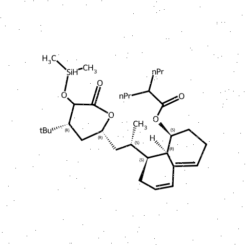 CCCC(CCC)C(=O)O[C@H]1CCC=C2C=CC[C@@H]([C@@H](C)C[C@@H]3C[C@H](C(C)(C)C)C(O[SiH](C)C)C(=O)O3)[C@H]21